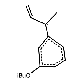 C=C[C](C)c1cccc(OCC(C)C)c1